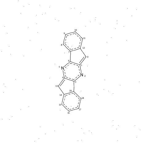 C1=c2nc3c(nc2-c2ccccc21)=Cc1ccccc1-3